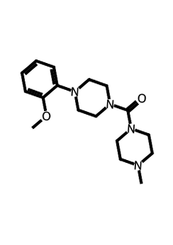 COc1ccccc1N1CCN(C(=O)N2CCN(C)CC2)CC1